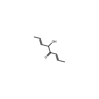 CC=CC(O)C(=O)/C=C/C